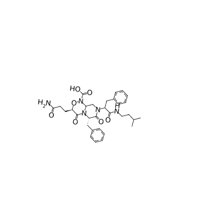 CC(C)CCNC(=O)C(Cc1ccccc1)N1CC2N(C(=O)O)O[C@H](CCC(N)=O)C(=O)N2[C@@H](Cc2ccccc2)C1=O